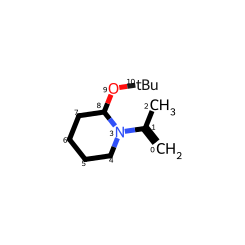 C=C(C)N1CCCCC1OC(C)(C)C